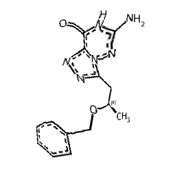 C[C@H](Cc1nnc2c(=O)[nH]c(N)nn12)OCc1ccccc1